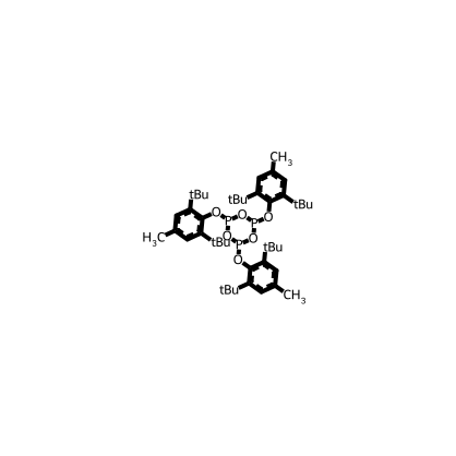 Cc1cc(C(C)(C)C)c(OP2OP(Oc3c(C(C)(C)C)cc(C)cc3C(C)(C)C)OP(Oc3c(C(C)(C)C)cc(C)cc3C(C)(C)C)O2)c(C(C)(C)C)c1